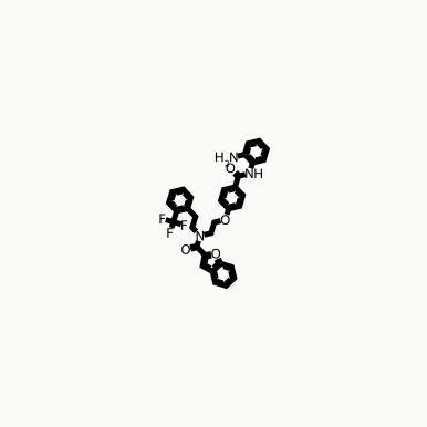 Nc1ccccc1NC(=O)c1ccc(OCCN(CCc2ccccc2C(F)(F)F)C(=O)c2cc3ccccc3o2)cc1